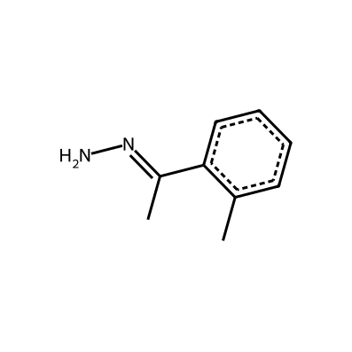 C/C(=N\N)c1ccccc1C